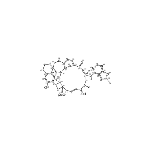 CO[C@H]1/C=C/[C@H](O)[C@H](C)CS(=O)(Nc2ncnc3nn(C)cc23)=NC(=O)c2ccc3c(c2)N(C[C@@H]2CC[C@H]21)C[C@@]1(CCCc2cc(Cl)ccc21)CO3